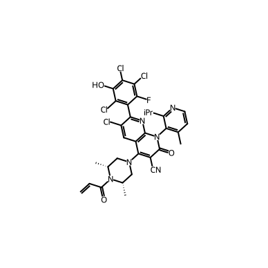 C=CC(=O)N1[C@H](C)CN(c2c(C#N)c(=O)n(-c3c(C)ccnc3C(C)C)c3nc(-c4c(F)c(Cl)c(Cl)c(O)c4Cl)c(Cl)cc23)C[C@@H]1C